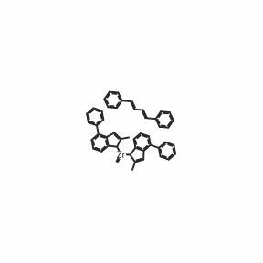 C(C=Cc1ccccc1)=Cc1ccccc1.[CH2]=[Zr]([CH]1C(C)=Cc2c(-c3ccccc3)cccc21)[CH]1C(C)=Cc2c(-c3ccccc3)cccc21